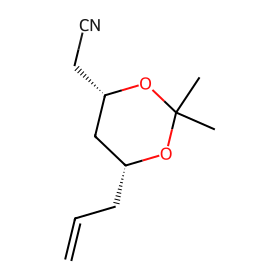 C=CC[C@@H]1C[C@H](CC#N)OC(C)(C)O1